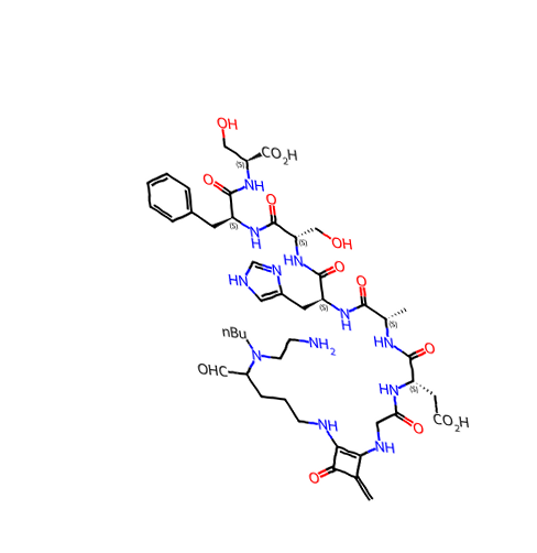 C=C1C(=O)C(NCCCC(C=O)N(CCN)CCCC)=C1NCC(=O)N[C@@H](CC(=O)O)C(=O)N[C@@H](C)C(=O)N[C@@H](Cc1c[nH]cn1)C(=O)N[C@@H](CO)C(=O)N[C@@H](Cc1ccccc1)C(=O)N[C@@H](CO)C(=O)O